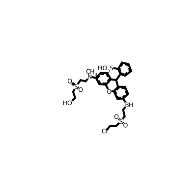 CN(CCS(=O)(=O)CCO)c1ccc2c(c1)Oc1cc(BCCS(=O)(=O)CCCl)ccc1C2c1ccccc1S(=O)(=O)O